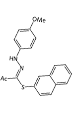 COc1ccc(NN=C(Sc2ccc3ccccc3c2)C(C)=O)cc1